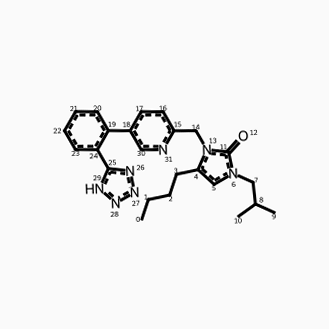 CCCCc1cn(CC(C)C)c(=O)n1Cc1ccc(-c2ccccc2-c2nnn[nH]2)cn1